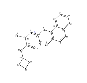 CC(C)[C@H](/N=[P+](\[O-])Oc1c(Cl)ccc2ccccc12)C(=O)OC1CCC1